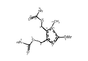 CCCC(=O)OCc1nc(OC)n(C)c1COC(=O)CCC